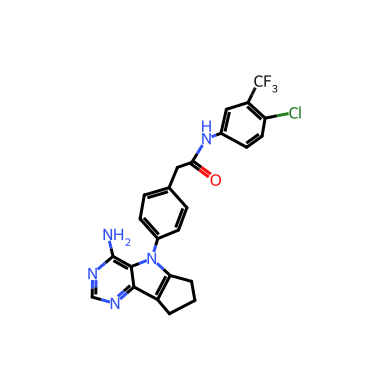 Nc1ncnc2c3c(n(-c4ccc(CC(=O)Nc5ccc(Cl)c(C(F)(F)F)c5)cc4)c12)CCC3